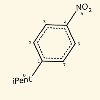 CCCC(C)c1ccc([N+](=O)[O-])cc1